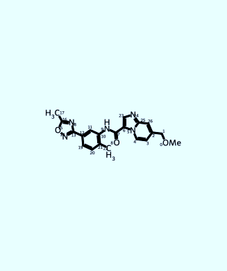 COCc1ccn2c(C(=O)Nc3cc(-c4noc(C)n4)ccc3C)cnc2c1